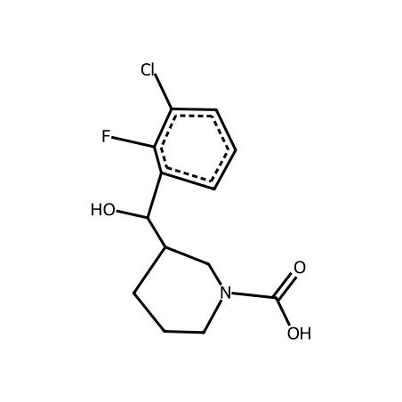 O=C(O)N1CCCC(C(O)c2cccc(Cl)c2F)C1